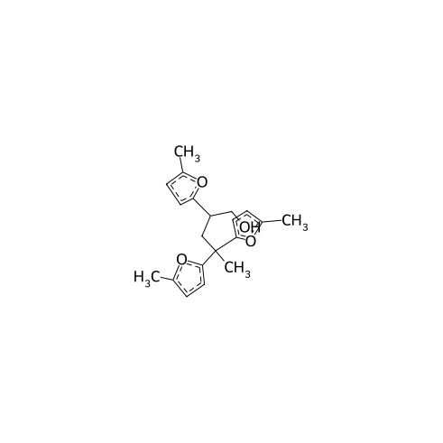 Cc1ccc(C(CO)CC(C)(c2ccc(C)o2)c2ccc(C)o2)o1